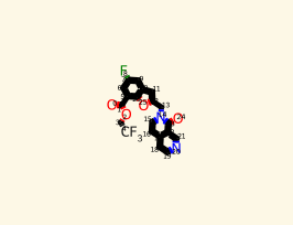 O=C(OCC(F)(F)F)c1cc(F)cc2cc(Cn3ccc4ccncc4c3=O)oc12